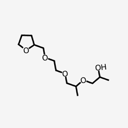 CC(O)COC(C)COCCOCC1CCCO1